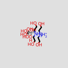 OCC[NH2+]CCO.OCC[NH2+]CCO.[OH][Pt-2]([OH])([OH])([OH])([OH])[OH]